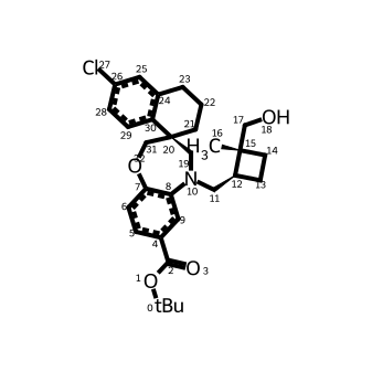 CC(C)(C)OC(=O)c1ccc2c(c1)N(C[C@@H]1CC[C@@]1(C)CO)C[C@@]1(CCCc3cc(Cl)ccc31)CO2